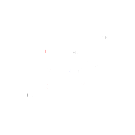 CCOCCN(C(=O)c1ccc(C)cc1)C(C)C(=O)O